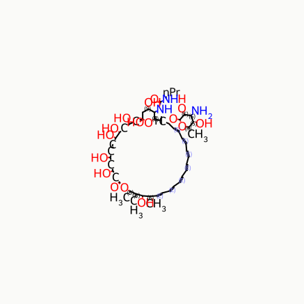 CCCNC(=O)NC1[C@@H]2CC(OC3O[C@H](C)[C@@H](O)[C@H](N)[C@@H]3O)/C=C/C=C/C=C/C=C/C=C/C=C/C=C/[C@H](C)C(O)[C@@H](C)[C@H](C)OC(=O)CC(O)CC(O)CCC(O)C(O)CC(O)CC(O)(C[C@@H]1O)O2